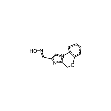 ON=Cc1cn2c(n1)COc1ccccc1-2